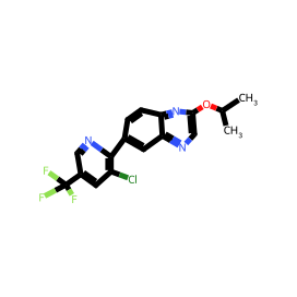 CC(C)Oc1cnc2cc(-c3ncc(C(F)(F)F)cc3Cl)ccc2n1